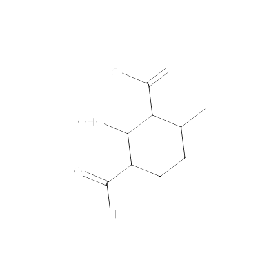 CC1CCC(C(=O)Cl)C(C=O)C1C(=O)Cl